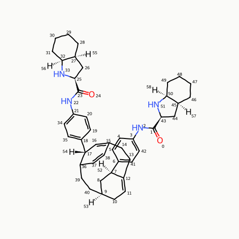 O=C(Nc1ccc([C@@H]2C[C@H]3CC=C2CCC2=C[C@@H](c4ccc(NC(=O)[C@@H]5C[C@@H]6CCCC[C@@H]6N5)cc4)C(C=C2)CC3)cc1)[C@@H]1C[C@@H]2CCCC[C@@H]2N1